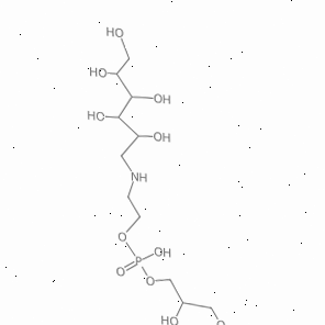 COCC(O)COP(=O)(O)OCCNCC(O)C(O)C(O)C(O)CO